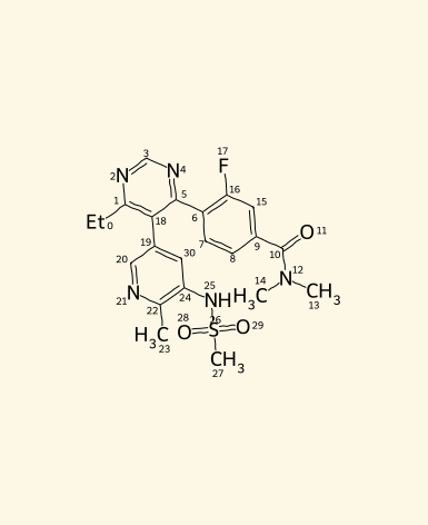 CCc1ncnc(-c2ccc(C(=O)N(C)C)cc2F)c1-c1cnc(C)c(NS(C)(=O)=O)c1